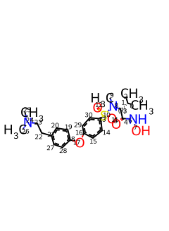 CC(C)[C@H](C(=O)NO)N(C)S(=O)(=O)c1ccc(Oc2ccc(CCN(C)C)cc2)cc1